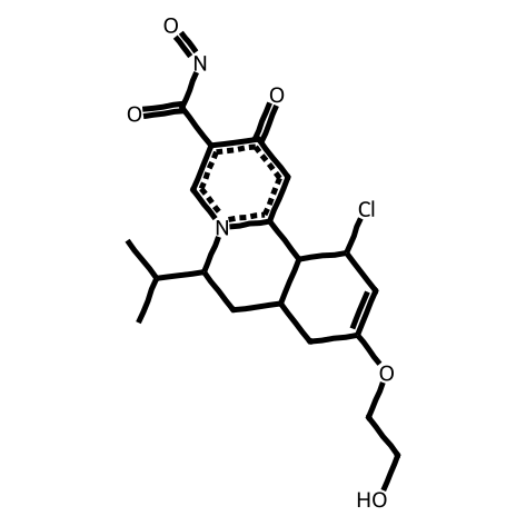 CC(C)C1CC2CC(OCCO)=CC(Cl)C2c2cc(=O)c(C(=O)N=O)cn21